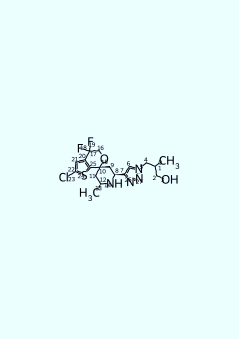 CC(CO)Cn1cc([C@@H]2C[C@]3(C[C@H](C)N2)OCC(F)(F)c2cc(Cl)sc23)nn1